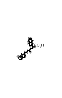 O=C(O)CC(CCC(=O)CCCc1ccc2c(n1)NCCC2)c1cnc2ccccc2c1